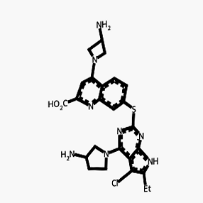 CCc1[nH]c2nc(Sc3ccc4c(N5CC(N)C5)cc(C(=O)O)nc4c3)nc(N3CCC(N)C3)c2c1Cl